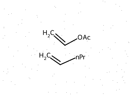 C=CCCC.C=COC(C)=O